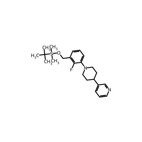 CC(C)(C)[Si](C)(C)OCc1cccc(N2CCC(c3cccnc3)CC2)c1F